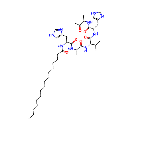 CCCCCCCCCCCCCCCC(=O)N[C@@H](Cc1c[nH]cn1)C(=O)N[C@@H](C)C(=O)N[C@H](C(=O)N[C@@H](Cc1c[nH]cn1)C(=O)N[C@H](C)C(C)=O)C(C)C